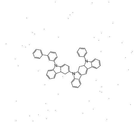 C1=C2c3ccccc3N(c3ccccc3)C2Cc2c1c1ccccc1n2C1=CC=C2C(C1)c1ccccc1N2c1cccc(-c2ccccc2)c1